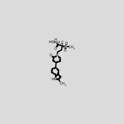 Cc1cc2cc(-c3ccn(CC[C@](C)(C(=O)NO)S(C)(=O)=O)c(=O)c3)ccc2[nH]1